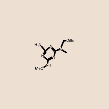 CONc1nc(N)nc(N(C)COCC(C)C)n1